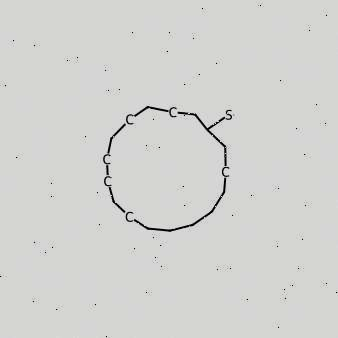 [S]C1CCCCCCCCCCCCCCCC1